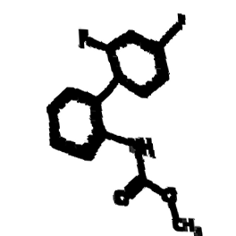 COC(=O)Nc1ccccc1-c1ccc(F)cc1F